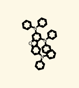 c1ccc(N(c2ccccc2)c2cc(N(c3ccccc3)c3ccccc3)c3c(c2)oc2ccc(N(c4ccccc4)c4ccccc4)cc23)cc1